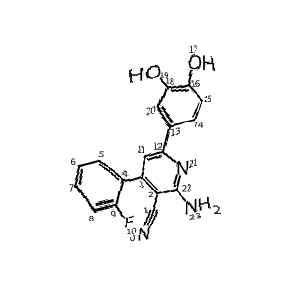 N#Cc1c(-c2ccccc2F)cc(-c2ccc(O)c(O)c2)nc1N